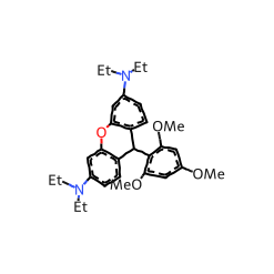 CCN(CC)c1ccc2c(c1)Oc1cc(N(CC)CC)ccc1C2c1c(OC)cc(OC)cc1OC